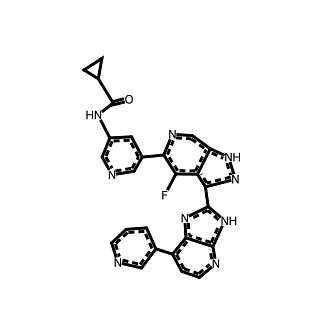 O=C(Nc1cncc(-c2ncc3[nH]nc(-c4nc5c(-c6cccnc6)ccnc5[nH]4)c3c2F)c1)C1CC1